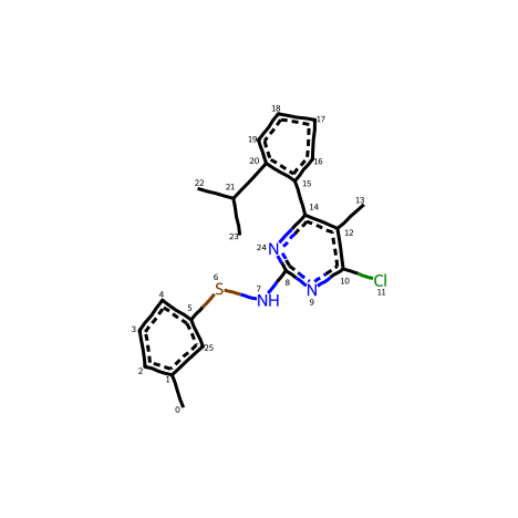 Cc1cccc(SNc2nc(Cl)c(C)c(-c3ccccc3C(C)C)n2)c1